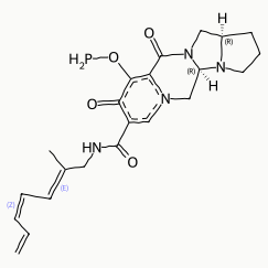 C=C/C=C\C=C(/C)CNC(=O)c1cn2c(c(OP)c1=O)C(=O)N1C[C@H]3CCCN3[C@H]1C2